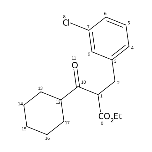 CCOC(=O)C(Cc1cccc(Cl)c1)C(=O)C1CCCCC1